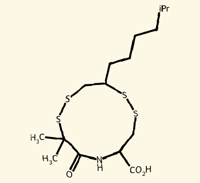 CC(C)CCCCC1CSSC(C)(C)C(=O)NC(C(=O)O)CSS1